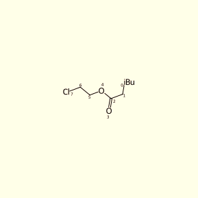 CCC(C)CC(=O)OCCCl